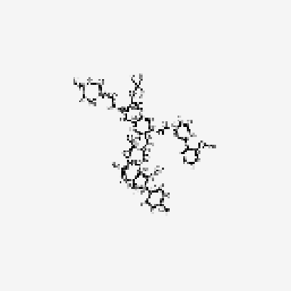 COc1ccccc1-c1nccc(COc2ccc(CN(CCN3CCN(C)CC3)C(=O)OC(C)(C)C)cc2CC(Oc2ncnc3sc(-c4ccc(F)cc4)c(Br)c23)C(=O)O)n1